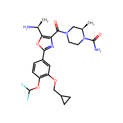 C[C@H](N)c1oc(-c2ccc(OC(F)F)c(OCC3CC3)c2)nc1C(=O)N1CCN(C(N)=O)[C@H](C)C1